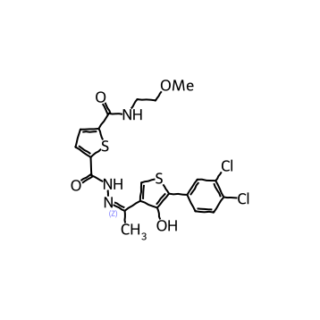 COCCNC(=O)c1ccc(C(=O)N/N=C(/C)c2csc(-c3ccc(Cl)c(Cl)c3)c2O)s1